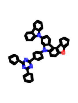 c1ccc(-c2nc(-c3ccccc3)nc(-c3ccc(-n4c5cc(-n6c7ccccc7c7ccccc76)ccc5c5c6c(ccc54)oc4ccccc46)cc3)n2)cc1